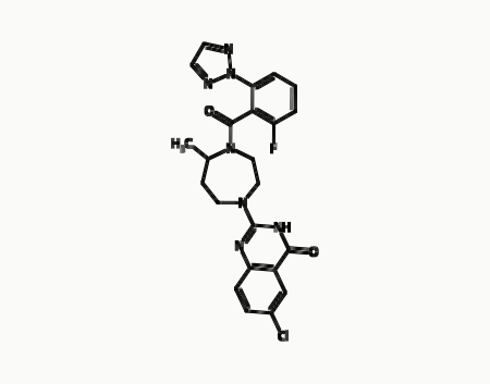 CC1CCN(c2nc3ccc(Cl)cc3c(=O)[nH]2)CCN1C(=O)c1c(F)cccc1-n1nccn1